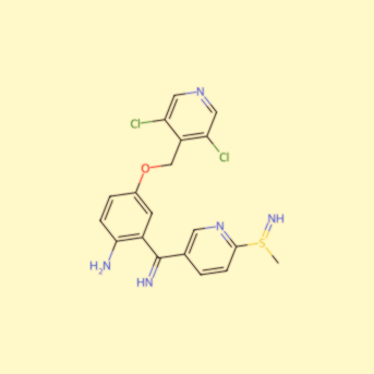 CS(=N)c1ccc(C(=N)c2cc(OCc3c(Cl)cncc3Cl)ccc2N)cn1